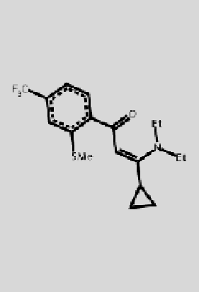 CCN(CC)C(=CC(=O)c1ccc(C(F)(F)F)cc1SC)C1CC1